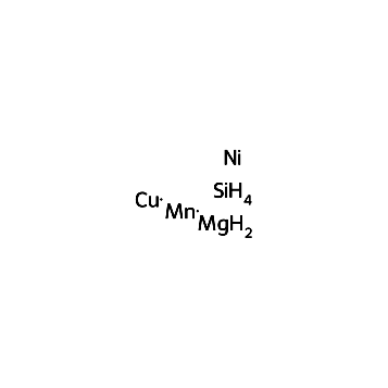 [Cu].[MgH2].[Mn].[Ni].[SiH4]